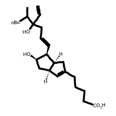 C=CC(O)(C/C=C/[C@H]1[C@H]2CC(CCCCC(=O)O)=C[C@H]2C[C@H]1O)C(C)CCCC